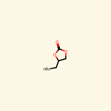 CCCCCC1COC(=O)O1